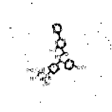 CCOC(=O)[C@@H](C)NP(=O)(N[C@@H](C)CC)c1ccc(C(NC(=O)c2cnc(-c3ccccn3)nc2O)c2ccc(OC)cc2)cc1